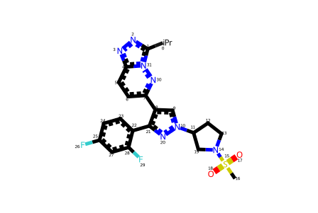 CC(C)c1nnc2ccc(-c3cn(C4CCN(S(C)(=O)=O)C4)nc3-c3ccc(F)cc3F)nn12